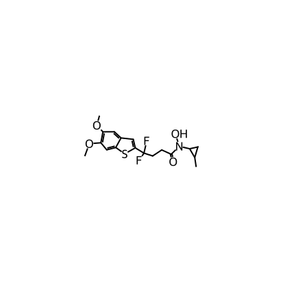 COc1cc2cc(C(F)(F)CCC(=O)N(O)C3CC3C)sc2cc1OC